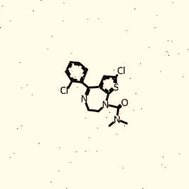 CN(C)C(=O)N1CCN=C(c2ccccc2Cl)c2cc(Cl)sc21